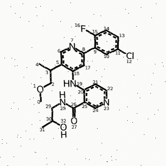 COCC(C)c1cnc(-c2cc(Cl)ccc2F)cc1Nc1ccncc1C(=O)NCC(C)O